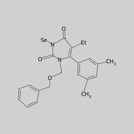 CCc1c(-c2cc(C)cc(C)c2)n(COCc2ccccc2)c(=O)n([Se])c1=O